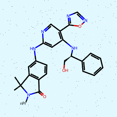 CCCN1C(=O)c2ccc(Nc3cc(N[C@H](CO)c4ccccc4)c(-c4ncno4)cn3)cc2C1(C)C